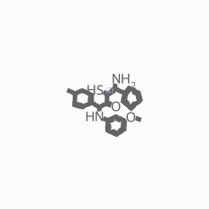 COc1cccc(NC(C(=O)/C(S)=C(/N)c2ccccc2)C2=CCC(C)C=C2)c1